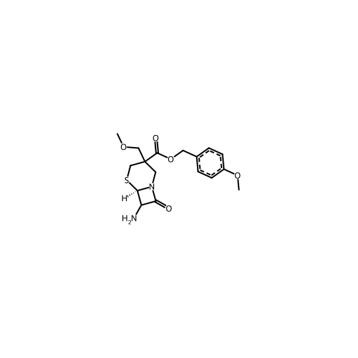 COCC1(C(=O)OCc2ccc(OC)cc2)CS[C@@H]2C(N)C(=O)N2C1